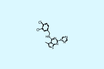 Cc1csc2nc(-n3cncn3)nc(NCc3ccc(Cl)c(Cl)c3)c12